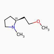 COCC[C@@H]1CCCN1C